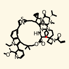 C=CC(=O)N1CCC12CCN(C(=O)N(C)[C@H](C(=O)NC1(C3Cc4nc(cs4)-c4ccc5c(c4)c(c(-c4cccnc4[C@H](C)OC)n5CC)CC(C)(C)COC(=O)[C@@H]4CCCN(N4)C3=O)C#C1)C(C)C)CC2